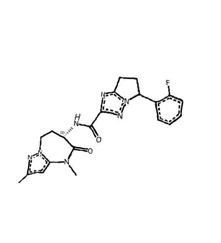 Cc1cc2n(n1)CC[C@H](NC(=O)c1nc3n(n1)C(c1ccccc1F)CC3)C(=O)N2C